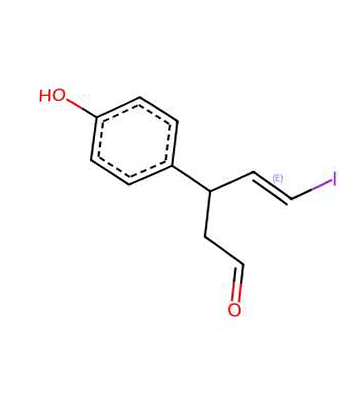 O=CCC(/C=C/I)c1ccc(O)cc1